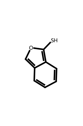 Sc1occ2ccccc12